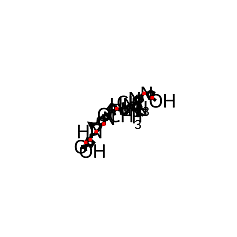 Cc1c(Nc2nc(C(F)F)nc3cc(CN4CCC(O)C4)cnc23)cccc1-c1cccc(-c2nc3cc(CNCCC45CCC(C(=O)O)(CC4)C5)c(C4CC4)cc3o2)c1C